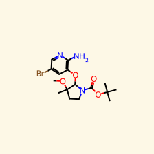 COC1(C)CCN(C(=O)OC(C)(C)C)C1Oc1cc(Br)cnc1N